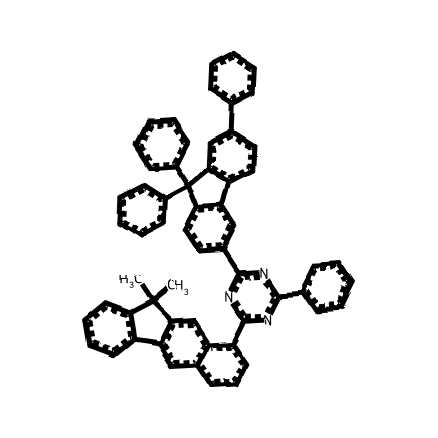 CC1(C)c2ccccc2-c2cc3cccc(-c4nc(-c5ccccc5)nc(-c5ccc6c(c5)-c5ccc(-c7ccccc7)cc5C6(c5ccccc5)c5ccccc5)n4)c3cc21